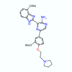 COc1cc(-c2cnc(N)c(-c3nc4c(OC)cccc4[nH]3)n2)ccc1OCCN1CCCC1